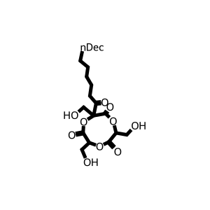 CCCCCCCCCCCCCCCC(=O)C1(CO)OC(=O)C(CO)OC(=O)C(CO)OC1=O